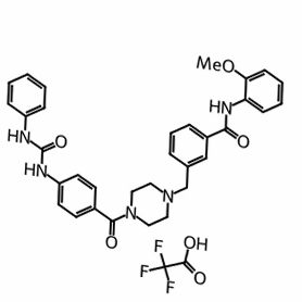 COc1ccccc1NC(=O)c1cccc(CN2CCN(C(=O)c3ccc(NC(=O)Nc4ccccc4)cc3)CC2)c1.O=C(O)C(F)(F)F